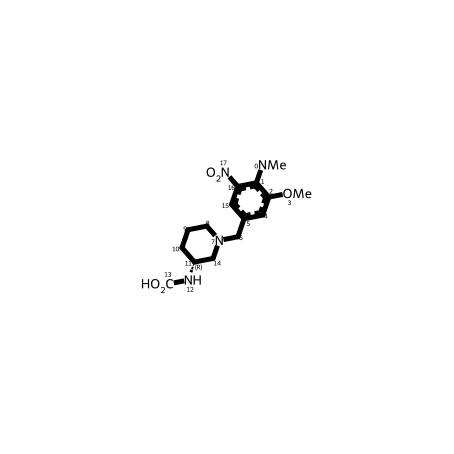 CNc1c(OC)cc(CN2CCC[C@@H](NC(=O)O)C2)cc1[N+](=O)[O-]